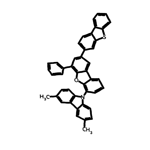 Cc1ccc2c(c1)c1cc(C)ccc1n2-c1cccc2c1oc1c(-c3ccccc3)cc(-c3ccc4c(c3)sc3ccccc34)cc12